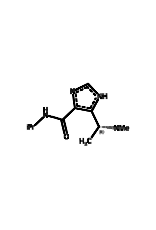 CN[C@H](C)c1[nH]cnc1C(=O)NC(C)C